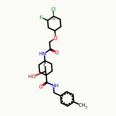 Cc1ccc(CNC(=O)C23CCC(NC(=O)COC4CC[C@H](Cl)C(F)C4)(CC2)CC3O)cc1